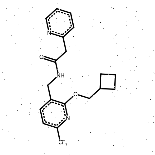 O=C(Cc1ccccn1)NCc1ccc(C(F)(F)F)nc1OCC1CCC1